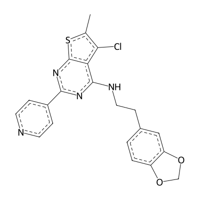 Cc1sc2nc(-c3ccncc3)nc(NCCc3ccc4c(c3)OCO4)c2c1Cl